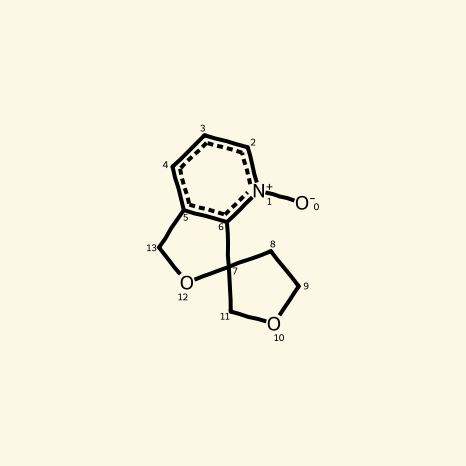 [O-][n+]1cccc2c1C1(CCOC1)OC2